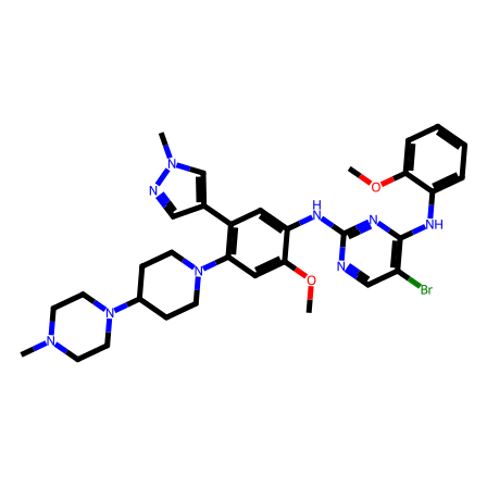 COc1cc(N2CCC(N3CCN(C)CC3)CC2)c(-c2cnn(C)c2)cc1Nc1ncc(Br)c(Nc2ccccc2OC)n1